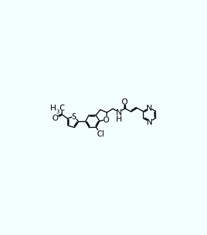 CC(=O)c1ccc(-c2cc(Cl)c3c(c2)CC(CNC(=O)C=Cc2cnccn2)O3)s1